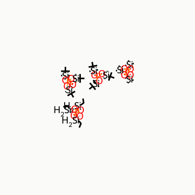 CC(C)(C)[Si](C)(C)OP(=O)(O[Si](C)(C)C(C)(C)C)O[Si](C)(C)C(C)(C)C.CC(C)(C)[Si](C)(C)OP(O[Si](C)(C)C(C)(C)C)O[Si](C)(C)C(C)(C)C.CC[SiH2]OP(=O)(O[SiH2]CC)O[SiH2]CC.C[Si](C)(C)OP(=O)(O[Si](C)(C)C)O[Si](C)(C)C